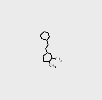 CC1CCC(CCC2CCCCC2)CC1C